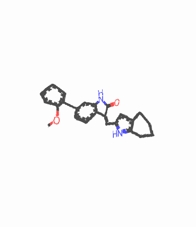 COc1ccccc1-c1ccc2c(c1)NC(=O)C2=Cc1cc2c([nH]1)CCCC2